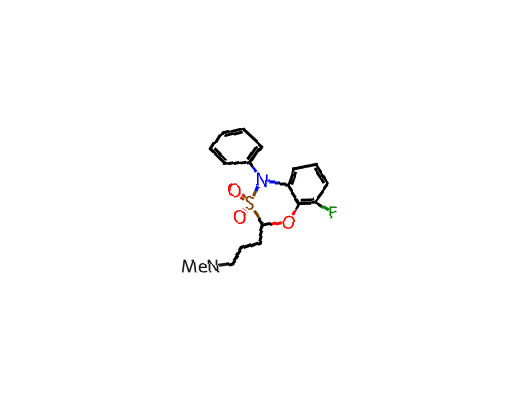 CNCCCC1Oc2c(F)cccc2N(c2ccccc2)S1(=O)=O